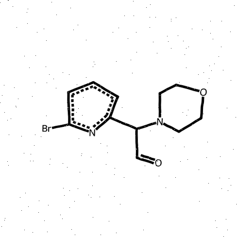 O=CC(c1cccc(Br)n1)N1CCOCC1